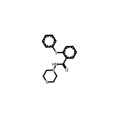 O=C(NN1CCSCC1)c1ccccc1Sc1ccccc1